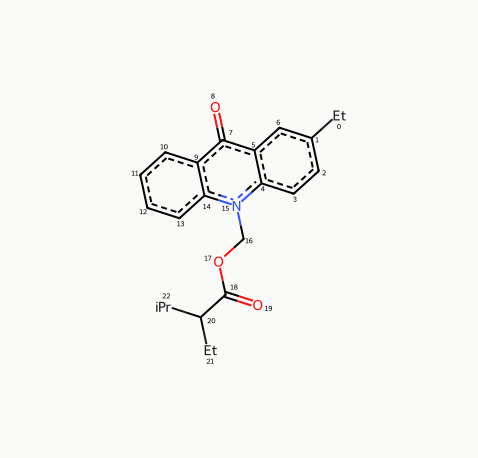 CCc1ccc2c(c1)c(=O)c1ccccc1n2COC(=O)C(CC)C(C)C